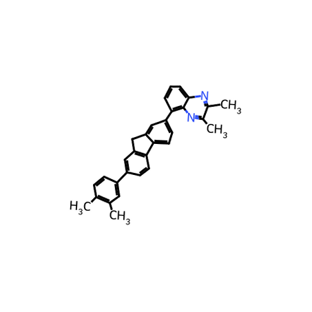 Cc1ccc(-c2ccc3c(c2)Cc2cc(-c4cccc5nc(C)c(C)nc45)ccc2-3)cc1C